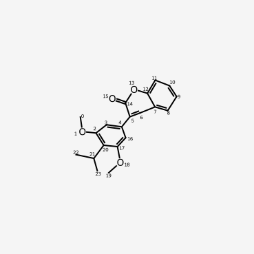 COc1cc(-c2cc3ccccc3oc2=O)cc(OC)c1C(C)C